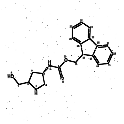 O=C(N[C@H]1CNC(CO)C1)OCC1c2ccccc2-c2ccccc21